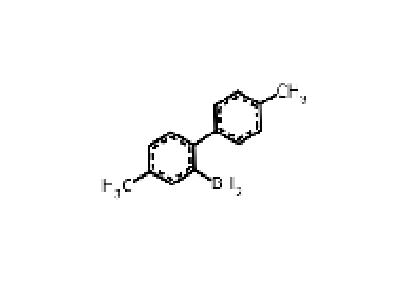 Bc1cc(C)ccc1-c1ccc(C)cc1